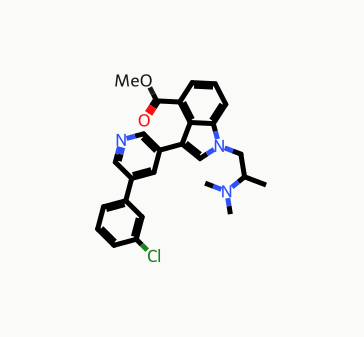 COC(=O)c1cccc2c1c(-c1cncc(-c3cccc(Cl)c3)c1)cn2CC(C)N(C)C